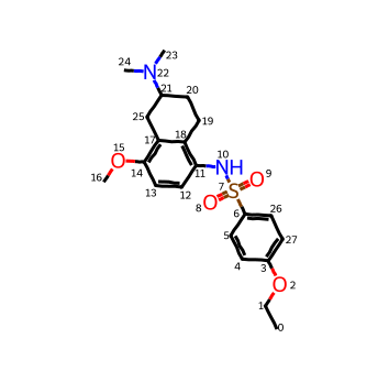 CCOc1ccc(S(=O)(=O)Nc2ccc(OC)c3c2CCC(N(C)C)C3)cc1